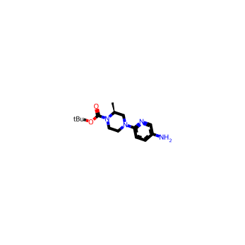 C[C@H]1CN(c2ccc(N)cn2)CCN1C(=O)OC(C)(C)C